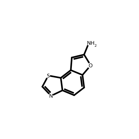 Nc1cc2c(ccc3ncsc32)o1